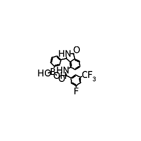 O=C(Nc1cccc2c1C(c1cccc(B(O)O)c1)NC2=O)c1cc(F)cc(C(F)(F)F)c1